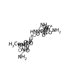 Cc1csc(CNC(=O)[C@H]2CN(C(=O)[C@@H](CCCCN)NC3CCCCC3)CC[C@H]2NC(=O)N2CCC3(CC2)CC32CCCC(N[C@H](CCCCN)C(=O)N3CC[C@@H](NC(=O)N4CCC5(CC4)CC5)[C@@H](C(=O)NCc4ccc(CN)cc4)C3)C2)c1